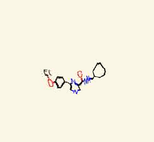 CCOc1ccc(-c2cncc(C(=O)NN=CC3CCCCCC3)n2)cc1